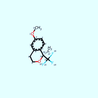 COc1ccc2c(c1)CCO[C@]2(C)C(F)(F)F